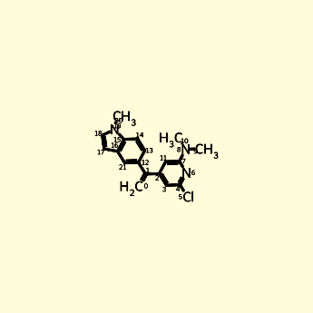 C=C(c1cc(Cl)nc(N(C)C)c1)c1ccc2c(ccn2C)c1